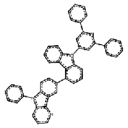 c1ccc(-c2cc(-n3c4ccccc4c4c(-c5ccc6c(c5)c5ncccc5n6-c5ccccc5)cccc43)cc(-c3ccccc3)n2)cc1